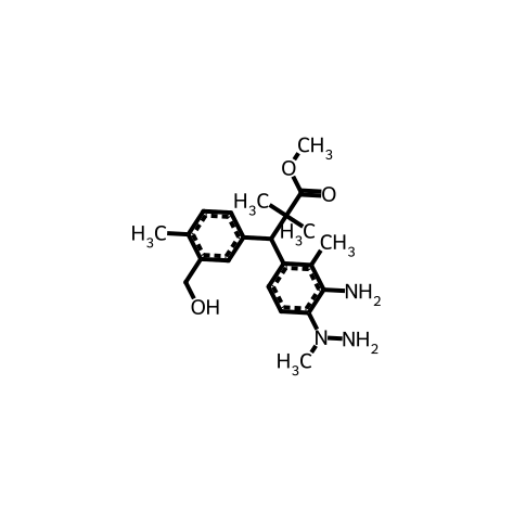 COC(=O)C(C)(C)C(c1ccc(C)c(CO)c1)c1ccc(N(C)N)c(N)c1C